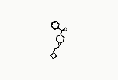 O=C(c1ccccc1)N1CCN(CCN2CCC2)CC1